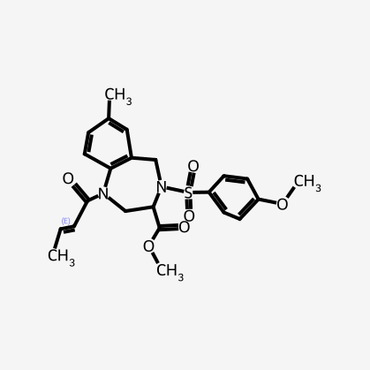 C/C=C/C(=O)N1CC(C(=O)OC)N(S(=O)(=O)c2ccc(OC)cc2)Cc2cc(C)ccc21